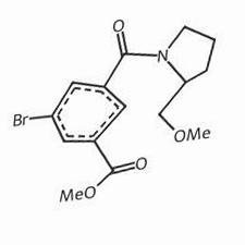 COCC1CCCN1C(=O)c1cc(Br)cc(C(=O)OC)c1